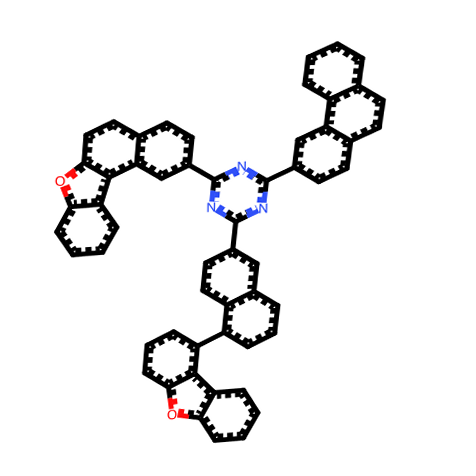 c1cc(-c2cccc3oc4ccccc4c23)c2ccc(-c3nc(-c4ccc5ccc6ccccc6c5c4)nc(-c4ccc5ccc6oc7ccccc7c6c5c4)n3)cc2c1